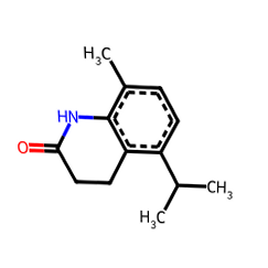 Cc1ccc(C(C)C)c2c1NC(=O)CC2